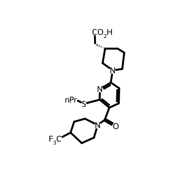 CCCSc1nc(N2CCC[C@@H](CC(=O)O)C2)ccc1C(=O)N1CCC(C(F)(F)F)CC1